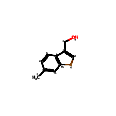 Cc1ccc2c(CO)csc2c1